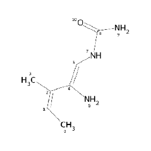 C/C=C(/C)C(N)=CNC(N)=O